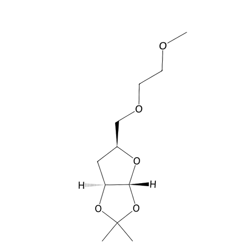 COCCOC[C@@H]1C[C@@H]2OC(C)(C)O[C@H]2O1